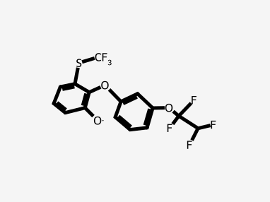 [O]c1cccc(SC(F)(F)F)c1Oc1cccc(OC(F)(F)C(F)F)c1